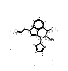 C=CCC1C=C2B(C3C=CC=C3)N(C(C)C)C(C)c3cccc1c32